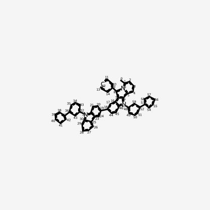 Cc1cccc2c3c(c(-c4ccccc4)n12)c1cc(-c2ccc4c(c2)c2ccccc2n4-c2cccc(-c4ccccc4)c2)ccc1n3-c1cccc(-c2ccccc2)c1